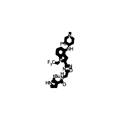 CN1CC[C@@H](Nc2cccc3c2cc(-c2noc(CNC(=O)c4cc[nH]c4C(C)(C)C)n2)n3CC(F)(F)F)[C@@H](F)C1